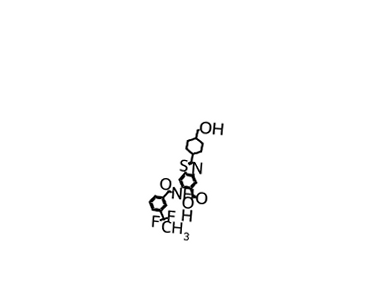 CC(F)(F)c1cccc(C(=O)Nc2cc3sc(C4CCC(CO)CC4)nc3cc2C(=O)O)c1